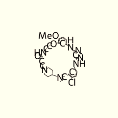 COc1ccc2cc1OCCNC(=O)CCN1CCC(CC1)N(C)Cc1cc(ccc1Cl)Nc1cc(ncn1)N2